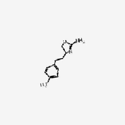 Cc1ccc(CCC2COC(N)=N2)cc1